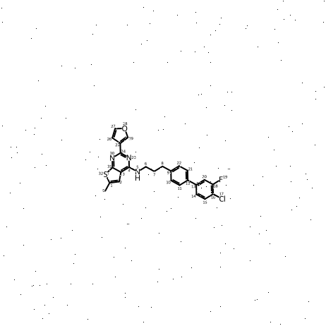 Cc1cc2c(NCCCc3ccc(-c4ccc(Cl)c(F)c4)cc3)nc(-c3ccoc3)nc2s1